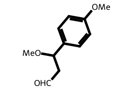 COc1ccc(C(CC=O)OC)cc1